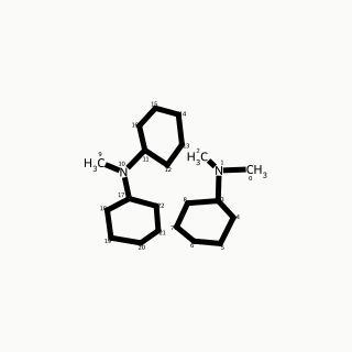 CN(C)C1CCCCC1.CN(C1CCCCC1)C1CCCCC1